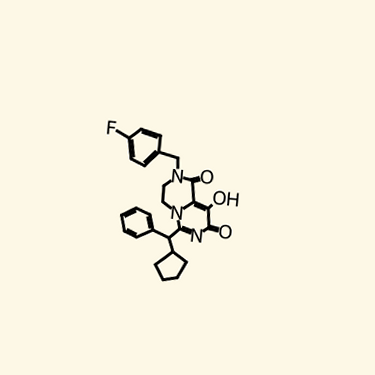 O=C1c2c(O)c(=O)nc(C(c3ccccc3)C3CCCC3)n2CCN1Cc1ccc(F)cc1